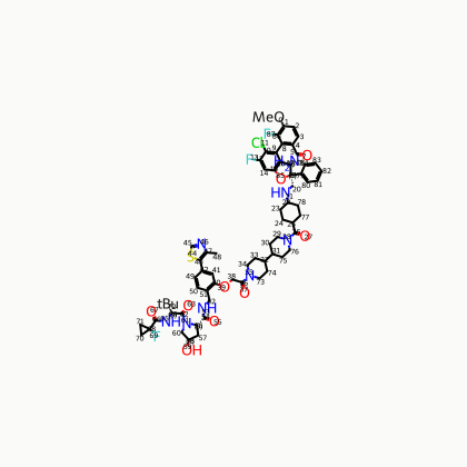 COc1ccc(C(N)=O)c(-c2c(Cl)c(F)cc3c2[C@H](C)[C@@](CNC2CCC(C(=O)N4CCC(C5CCN(C(=O)COc6cc(-c7scnc7C)ccc6CNC(=O)[C@@H]6C[C@@H](O)CN6C(=O)[C@@H](NC(=O)C6(F)CC6)C(C)(C)C)CC5)CC4)CC2)(c2ccccc2)O3)c1F